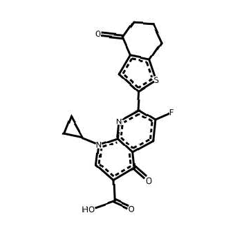 O=C1CCCc2sc(-c3nc4c(cc3F)c(=O)c(C(=O)O)cn4C3CC3)cc21